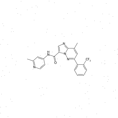 Cc1cc(NC(=O)c2cnc3c(C)cc(-c4ccccc4C(F)(F)F)nn23)ccn1